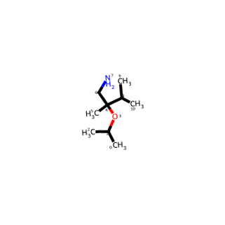 CC(C)OC(C)(CN)C(C)C